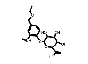 CCOCc1ccc(OC2OC(C(=O)O)C(O)C(O)C2O)c(NC)c1